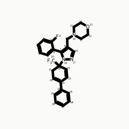 Fc1ccccc1-c1c(CN2CCOCC2)cnn1C1(C(F)(F)F)C=CC(c2ccccc2)=CC1